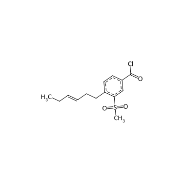 CCC=CCCc1ccc(C(=O)Cl)cc1S(C)(=O)=O